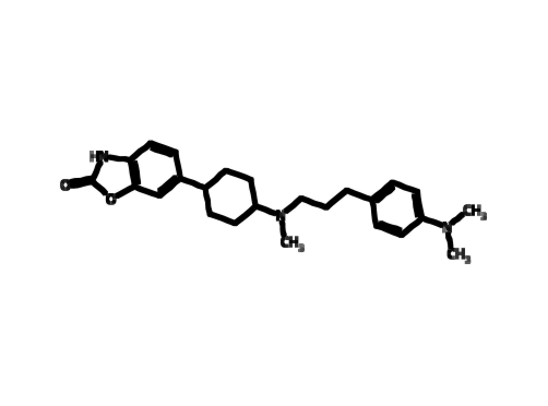 CN(C)c1ccc(CCCN(C)C2CCC(c3ccc4[nH]c(=O)oc4c3)CC2)cc1